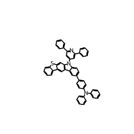 c1ccc(-c2cc(-n3c4ccc(-c5ccc(N(c6ccccc6)c6ccccc6)cc5)cc4c4cc5c(cc43)sc3ccccc35)cc(-c3ccccc3)n2)cc1